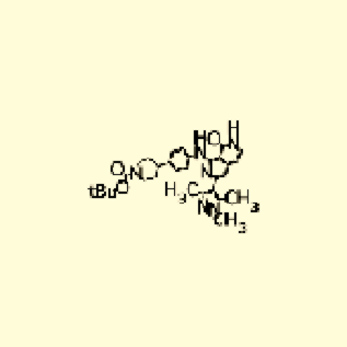 Cc1nn(C)c(C)c1-c1cc2cc[nH]c(=O)c2c(Nc2ccc(C3CCN(C(=O)OC(C)(C)C)CC3)cc2)n1